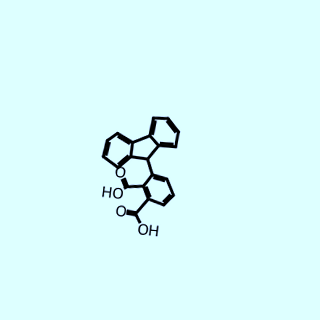 O=C(O)c1cccc(C2c3ccccc3-c3ccccc32)c1C(=O)O